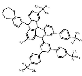 Cc1cc2c3c(c1)N(c1cc(-c4ccc(C(C)(C)C)cc4)cc(-c4ccc(C(C)(C)C)cc4)c1)c1cc(-c4ccc(C(C)(C)C)cc4)ccc1B3c1cc(C(C)(C)C)ccc1N2c1ccc2c(c1)OCCCO2